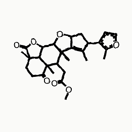 COC(=O)CC1C2(C)C3=C(C)C(c4ccoc4C)CC3OC2C2OC(=O)C3(C)CCC(=O)C1(C)C23